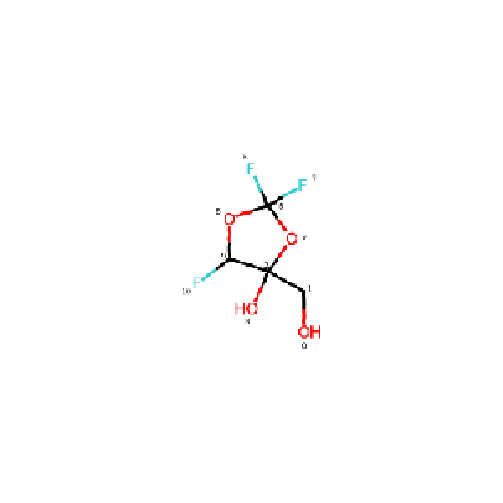 OCC1(O)OC(F)(F)OC1F